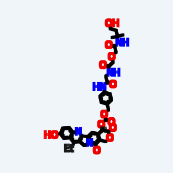 CCc1c2c(nc3ccc(O)cc13)-c1cc3c(c(=O)n1C2)COC(=O)[C@H]3OC(=O)OCc1ccc(NC(=O)CNC(=O)COCC(=O)NC(C)(C)CCO)cc1